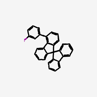 Ic1cccc(-c2cccc3c2-c2ccccc2C32c3ccccc3-c3ccccc32)c1